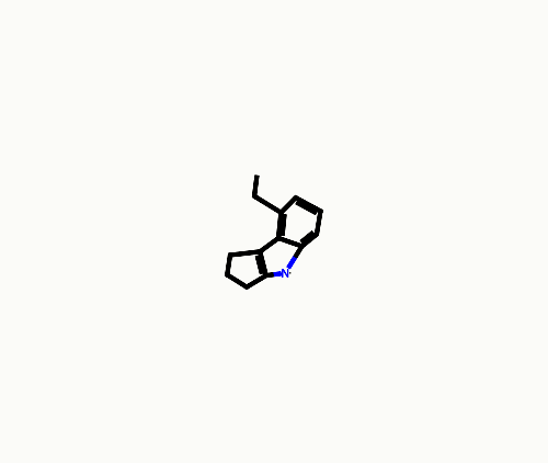 CCc1cccc2c1C1=C(CCC1)[N]2